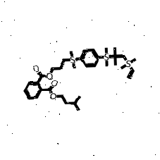 C=CS(C)(C)CC(C)(C)S(C)(C)c1ccc(S(C)(C)CCCOC(=O)c2ccccc2C(=O)OCCC(C)C)cc1